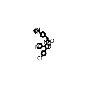 O=c1n(Cc2ccc(-n3cccn3)cc2)nc2c(-c3ccncc3)c(-c3ccc(Cl)cc3)cnn12